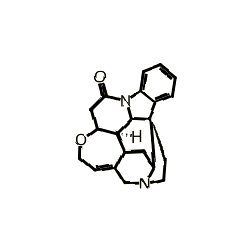 O=C1CC2OCC=C3CN4CC[C@]56c7ccccc7N1C5[C@H]2C3CC46